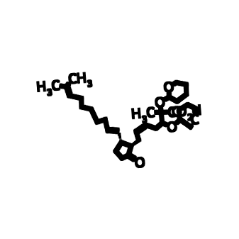 CC(C)=CCCCCC/C=C/[C@H]1CCC(=O)[C@@H]1C/C=C\CC(OC1CCCCO1)C(C)(OC1CCCCO1)C(=O)O